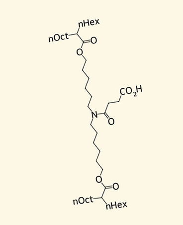 CCCCCCCCC(CCCCCC)C(=O)OCCCCCCN(CCCCCCOC(=O)C(CCCCCC)CCCCCCCC)C(=O)CCC(=O)O